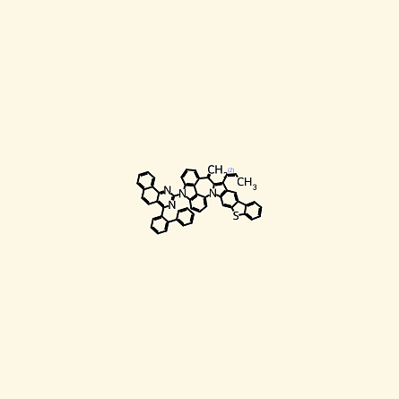 C=c1c2cccc3c2c2c(cccc2n2c1c(/C=C\C)c1cc4c(cc12)sc1ccccc14)n3-c1nc(-c2ccccc2-c2ccccc2)c2ccc3ccccc3c2n1